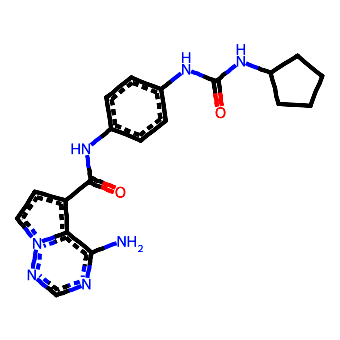 Nc1ncnn2ccc(C(=O)Nc3ccc(NC(=O)NC4CCCC4)cc3)c12